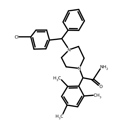 Cc1cc(C)c(C(C(N)=O)N2CCN(C(c3ccccc3)c3ccc(Cl)cc3)CC2)c(C)c1